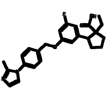 CCC1(C(=O)O)CCCC1c1cc(F)cc(OCc2ccc(-n3ccnc3C)cc2)c1